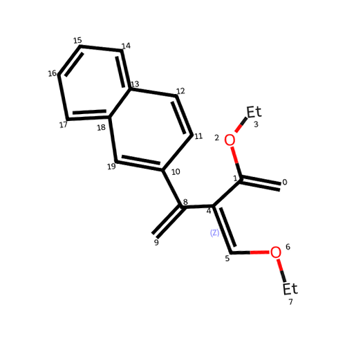 C=C(OCC)/C(=C\OCC)C(=C)c1ccc2ccccc2c1